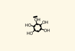 C=C.Oc1cc(O)c(O)c(O)c1O